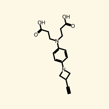 C#CC1CN(c2ccc(N(CCC(=O)O)CCC(=O)O)cc2)C1